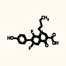 CCCCn1cc(C(=O)O)c(=O)c2cc(F)c(-c3ccc(O)cc3)c(F)c21